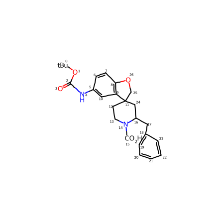 CC(C)(C)OC(=O)Nc1ccc2c(c1)C1(CCN(C(=O)O)C(Cc3ccccc3)C1)CO2